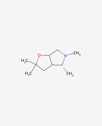 C[C@@H]1C2CC(C)(C)OC2CN1C